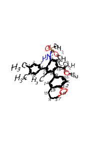 Cc1ccc(-c2c(C)c(-c3ccc4c(c3)CCCO4)c(C(OC(C)(C)C)C(=O)O)c(C)c2NS(C)(=O)=O)cc1C